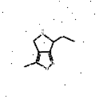 CCC1NCc2c1noc2C